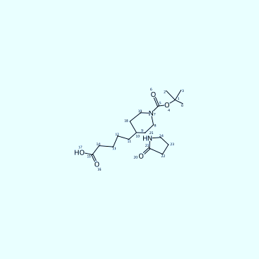 CC(C)(C)OC(=O)N1CCC(CCCCC(=O)O)CC1.O=C1CCCN1